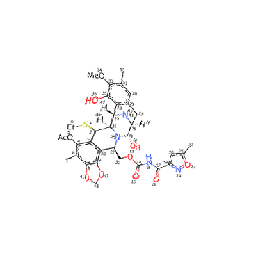 CCS[C@@H]1c2c(OC(C)=O)c(C)c3c(c2[C@H](COC(=O)NC(=O)c2cc(C)on2)N2[C@@H]1[C@@H]1c4c(cc(C)c(OC)c4O)C[C@@H]([C@@H]2O)N1C)OCO3